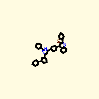 c1ccc(-c2cccc(-c3cc(-c4ccc(-c5c6ccccc6nc6c5sc5ccccc56)cc4)nc(-c4ccccc4)n3)c2)cc1